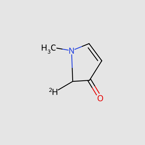 [2H]C1C(=O)C=CN1C